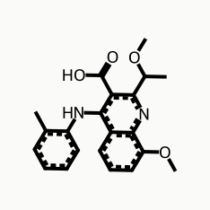 COc1cccc2c(Nc3ccccc3C)c(C(=O)O)c(C(C)OC)nc12